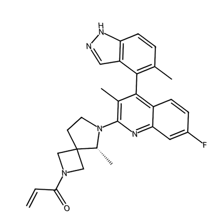 C=CC(=O)N1CC2(CCN(c3nc4cc(F)ccc4c(-c4c(C)ccc5[nH]ncc45)c3C)[C@@H]2C)C1